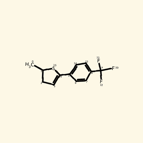 CC1CC=C(c2ccc(C(F)(F)F)cc2)S1